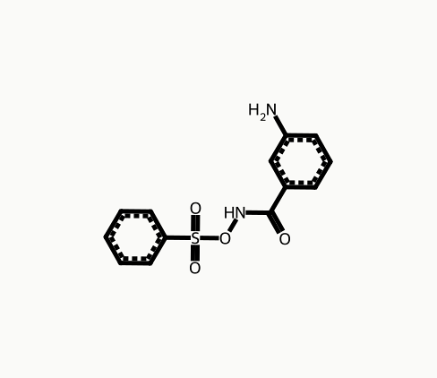 Nc1cccc(C(=O)NOS(=O)(=O)c2ccccc2)c1